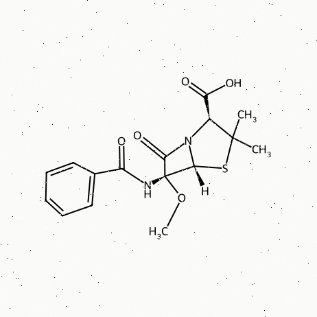 CO[C@]1(NC(=O)c2ccccc2)C(=O)N2[C@@H](C(=O)O)C(C)(C)S[C@@H]21